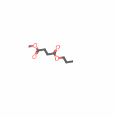 CCCOC(=O)CCC(=O)OC